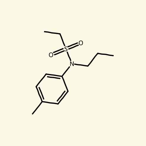 CCCN(c1ccc(C)cc1)S(=O)(=O)CC